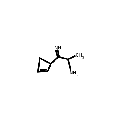 CC(N)C(=N)C1C=CC1